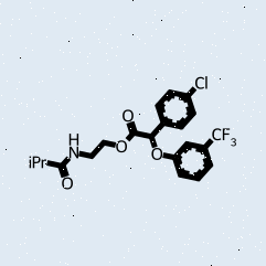 CC(C)C(=O)NCCOC(=O)C(Oc1cccc(C(F)(F)F)c1)c1ccc(Cl)cc1